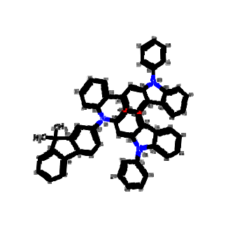 CC1(C)c2ccccc2-c2ccc(N(c3ccc4c5ccccc5n(-c5ccccc5)c4c3)c3ccccc3-c3ccc4c5ccccc5n(-c5ccccc5)c4c3)cc21